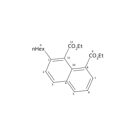 CCCCCCc1ccc2cccc(C(=O)OCC)c2c1C(=O)OCC